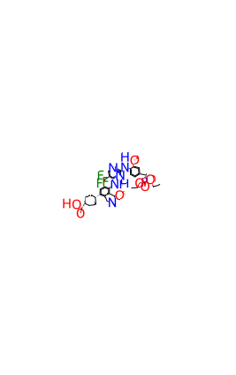 CCOP(=O)(Cc1ccc(Nc2ncc(C(F)(F)F)c(Nc3ccc([C@H]4CC[C@H](C(=O)O)CC4)c4c3C(=O)N(C)C4)n2)c(OC)c1)OCC